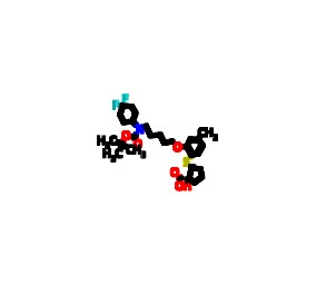 Cc1ccc(S[C@H]2CCC[C@@H]2C(=O)O)c(OCCCCCN(C(=O)OC(C)(C)C)C2CCC(F)(F)CC2)c1